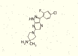 CC1(N)CCN(c2cnc3c(-c4ccc(Cl)cc4F)n[nH]c3n2)CC1